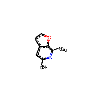 CC(C)(C)c1cc2ccoc2c(C(C)(C)C)n1